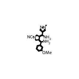 COc1cccc(/C(N)=C2\CN(C#N)C\C2=C(\N)c2cnn(C)c2)c1